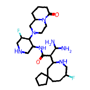 NC(N)C(C(=O)NC1CNCC(F)C1N1CCN2C(=O)CCCC2C1)C1CC2(CCCC2)CCC(F)CN1